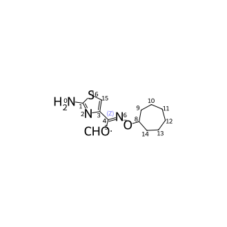 Nc1nc(/C([C]=O)=N/OC2CCCCCC2)cs1